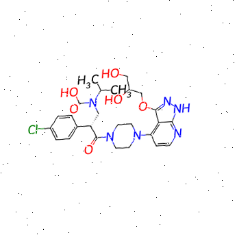 CC(C)N(C[C@H](C(=O)N1CCN(c2ccnc3[nH]nc(OCC(O)CO)c23)CC1)c1ccc(Cl)cc1)C(=O)O